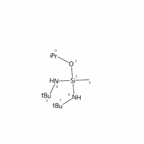 CC(C)O[Si](C)(NC(C)(C)C)NC(C)(C)C